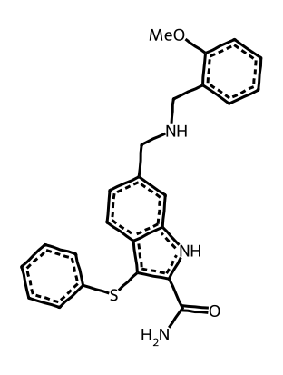 COc1ccccc1CNCc1ccc2c(Sc3ccccc3)c(C(N)=O)[nH]c2c1